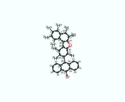 [2H]c1c([2H])c([2H])c2c(c1[2H])c([2H])c([2H])c1oc3c([2H])c(-c4c5ccccc5c(Br)c5ccccc45)c([2H])c([2H])c3c12